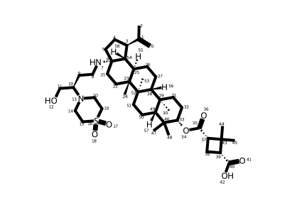 C=C(C)[C@@H]1CC[C@]2(NCC[C@H](CO)N3CCS(=O)(=O)CC3)CC[C@]3(C)[C@H](CC[C@@H]4[C@@]5(C)CC[C@H](OC(=O)[C@H]6C[C@@H](C(=O)O)C6(C)C)C(C)(C)[C@@H]5CC[C@]43C)[C@@H]12